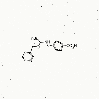 CCCCC(NCc1ccc(C(=O)O)cc1)OCc1cccnc1